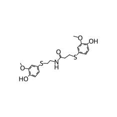 COc1cc(SCCNC(=O)CCSc2ccc(O)c(OC)c2)ccc1O